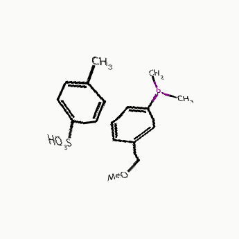 COCc1cccc(P(C)C)c1.Cc1ccc(S(=O)(=O)O)cc1